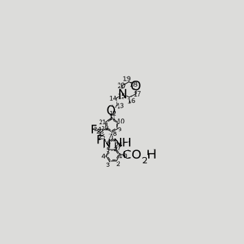 O=C(O)c1cccc2nc(-c3ccc(OCCN4CCOCC4)cc3C(F)F)[nH]c12